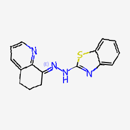 c1cnc2c(c1)CCC/C2=N\Nc1nc2ccccc2s1